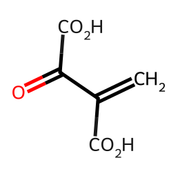 C=C(C(=O)O)C(=O)C(=O)O